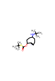 CC(C)(C)NC1CC/C=C/C(OC(=O)SC(C)(C)C)CC1